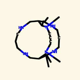 CC1NCCCNC(C)C2CNCCCNCC1C(C)N(C)CCCCN(C)C2C